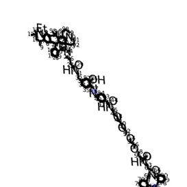 CC[N+]1=c2cc3c(cc2C(C)CC1(C)C)=C(c1ccccc1C(=O)N(C)CCCC(=O)NCCc1ccc(/N=N/c2ccc(C(=O)NCCOCCOCCOCCOCCC(=O)NCCC(=O)N4Cc5ccccc5/C=C\c5ccccc54)cc2)c(O)c1)c1cc2c4c(c1C3(C)C)CCCN4CCC2